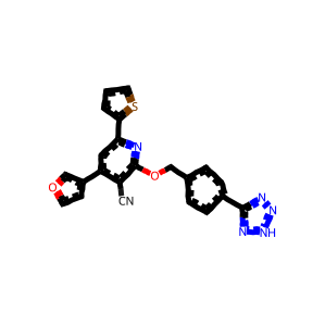 N#Cc1c(-c2ccoc2)cc(-c2cccs2)nc1OCc1ccc(-c2nn[nH]n2)cc1